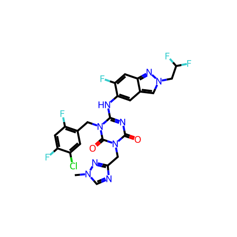 Cn1cnc(Cn2c(=O)nc(Nc3cc4cn(CC(F)F)nc4cc3F)n(Cc3cc(Cl)c(F)cc3F)c2=O)n1